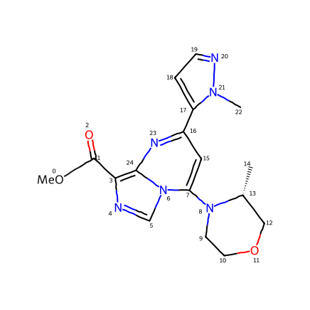 COC(=O)c1ncn2c(N3CCOC[C@H]3C)cc(-c3ccnn3C)nc12